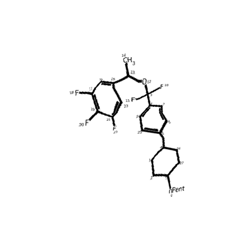 CCCCCC1CCC(c2ccc(C(F)(F)OC(C)c3cc(F)c(F)c(F)c3)cc2)CC1